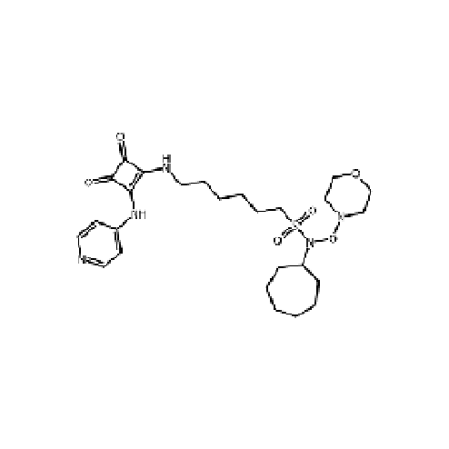 O=c1c(NCCCCCCS(=O)(=O)N(ON2CCOCC2)C2CCCCCC2)c(Nc2ccncc2)c1=O